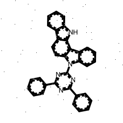 c1ccc(-c2nc(-c3ccccc3)nc(-n3c4ccccc4c4c5[nH]c6ccccc6c5ccc43)n2)cc1